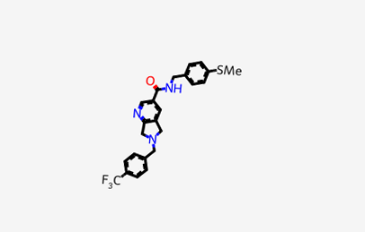 CSc1ccc(CNC(=O)c2cnc3c(c2)CN(Cc2ccc(C(F)(F)F)cc2)C3)cc1